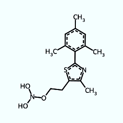 Cc1cc(C)c(-c2nc(C)c(CCON(O)O)s2)c(C)c1